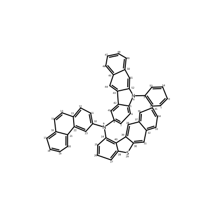 c1ccc(-n2c3ccc(N(c4ccc5ccc6ccccc6c5c4)c4cccc5sc6cc7ccccc7cc6c45)cc3c3cc4ccccc4cc32)cc1